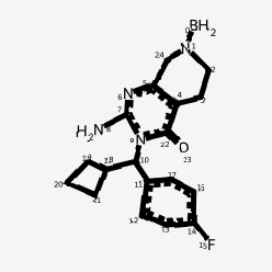 BN1CCc2c(nc(N)n(C(c3ccc(F)cc3)C3CCC3)c2=O)C1